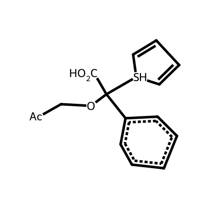 CC(=O)COC(C(=O)O)(c1ccccc1)[SH]1C=CC=C1